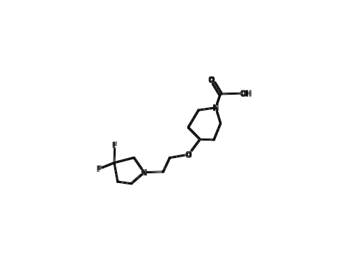 O=C(O)N1CCC(OCCN2CCC(F)(F)C2)CC1